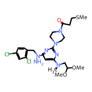 COC(CN(C)c1cc(N(N)Cc2ccc(Cl)cc2Cl)nc(N2CCN(C(=O)CCSC)CC2)n1)OC